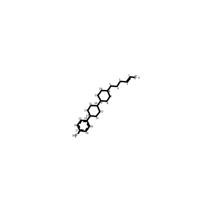 FC=CCCCC1CCC(C2CCC(c3ccc(F)cc3)CC2)CC1